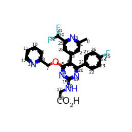 Cc1cc(-c2c(OCc3ccccn3)nc(NCC(=O)O)nc2-c2ccc(F)cc2)cc(C(F)F)n1